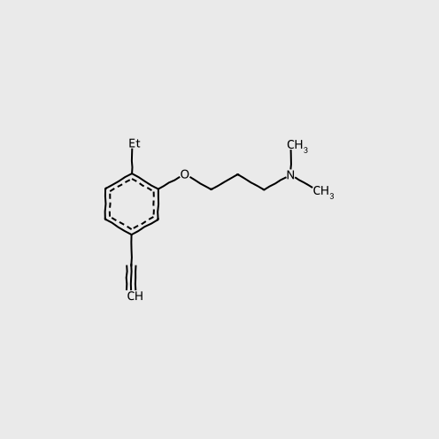 C#Cc1ccc(CC)c(OCCCN(C)C)c1